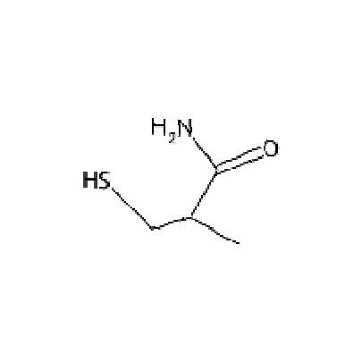 C[C](CS)C(N)=O